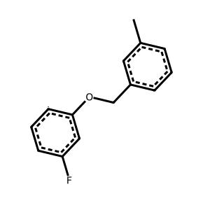 Cc1cccc(COc2[c]ccc(F)c2)c1